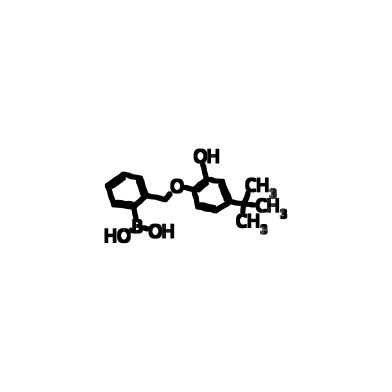 CC(C)(C)c1ccc(OCc2ccccc2B(O)O)c(O)c1